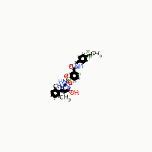 Cc1cccc(C)c1-c1cc(O)nc(NS(=O)(=O)c2cccc(C(=O)NCc3ccc(C(C)(F)F)cc3)c2)n1